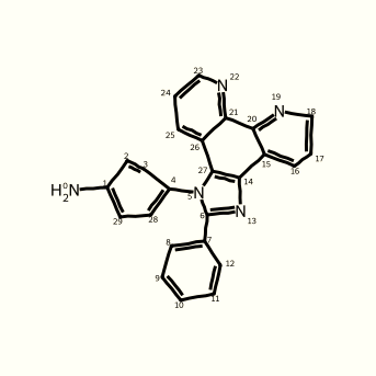 Nc1ccc(-n2c(-c3ccccc3)nc3c4cccnc4c4ncccc4c32)cc1